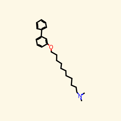 CN(C)CCCCCCCCCCCOc1cccc(-c2ccccc2)c1